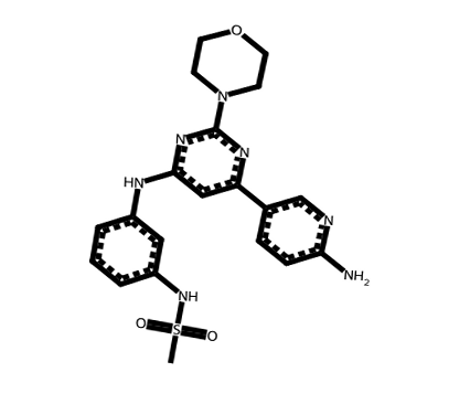 CS(=O)(=O)Nc1cccc(Nc2cc(-c3ccc(N)nc3)nc(N3CCOCC3)n2)c1